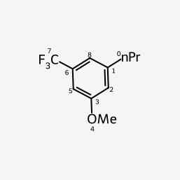 CCCc1cc(OC)cc(C(F)(F)F)c1